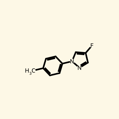 Cc1ccc(-n2cc(F)cn2)cc1